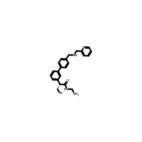 CC(C)C[C@@H](C(=O)NCN)c1cccc(-c2ccc(CNCc3ccccn3)cc2)c1